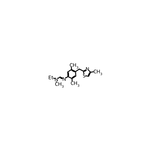 CCN(C)/C=N/c1cc(C)c(Cc2nc(C)cs2)cc1C